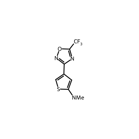 CNc1cc(-c2noc(C(F)(F)F)n2)cs1